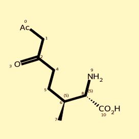 CC(=O)CC(=O)CC[C@H](C)[C@H](N)C(=O)O